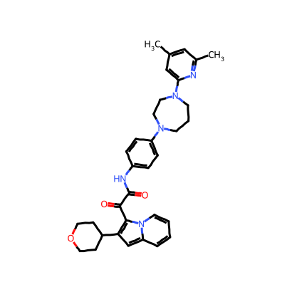 Cc1cc(C)nc(N2CCCN(c3ccc(NC(=O)C(=O)c4c(C5CCOCC5)cc5ccccn45)cc3)CC2)c1